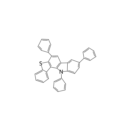 c1ccc(-c2ccc3c(c2)c2cc(-c4ccccc4)c4sc5ccccc5c4c2n3-c2ccccc2)cc1